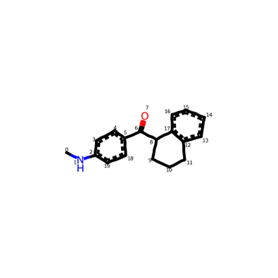 CNc1ccc(C(=O)C2CCCc3ccccc32)cc1